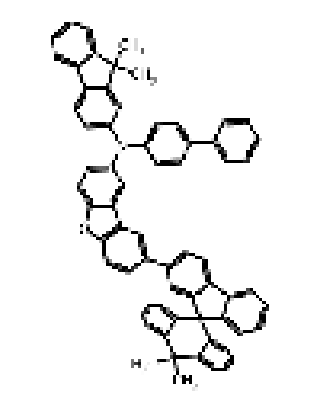 CC1(C)c2ccccc2-c2ccc(N(c3ccc(-c4ccccc4)cc3)c3ccc4oc5ccc(-c6ccc7c(c6)C6(c8ccccc8-7)c7ccccc7C(C)(C)c7ccccc76)cc5c4c3)cc21